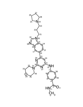 CNC(=O)c1ccc(Nc2cc(-c3ccc4c(c3)ncn4CCCN3CCCC3)nc(N3CCOCC3)n2)cc1